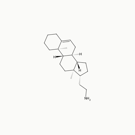 C[C@]12CC[C@H]3[C@@H](CC=C4CCCC[C@@]43C)[C@@H]1CC[C@@H]2CCN